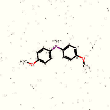 COc1ccc([P-]c2ccc(OC)cc2)cc1.[Na+]